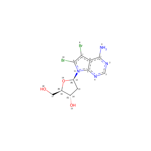 Nc1ncnc2c1c(Br)c(Br)n2[C@H]1C[C@H](O)[C@@H](CO)O1